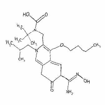 CCCCOC1=C(CN(C(=O)O)C(C)(C)C)N(CC(C)C)C=C2CC(=O)C(C(N)=NO)C=C21